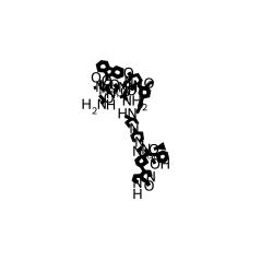 COc1ccc(C#CCNC2(C)CCN(C3CCN(c4nc([C@@](CO)(OC5CC5)c5ccccc5)c5cc(-c6cn(C)c(=O)c7[nH]ccc67)ccc5n4)CC3)CC2)cc1N1CCC(=O)N(CNC(=O)[C@H](CC(N)=O)NC(=O)[C@H](CC(N)=O)N(C)C(=O)OC2c3ccccc3-c3ccccc32)C1=O